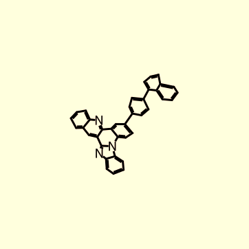 c1ccc2nc3c4cc(-c5ccc(-c6cccc7ccccc67)cc5)ccc4n4c5ccccc5nc4c3cc2c1